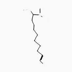 CCCCCCCC/C=C/CCCCCCCC(CCCCCCC)N(C)C